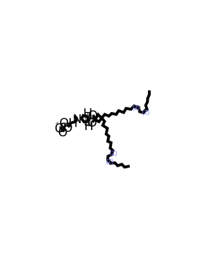 CCCCC/C=C\C/C=C\CCCCCCCCC1(CCCCCCCC/C=C\C/C=C\CCCCC)CC2(C1)O[C@H]1CC(N(C)CCOP(=O)(O)OC)C[C@H]1O2